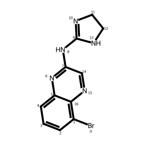 Brc1cccc2nc(NC3=NCCN3)cnc12